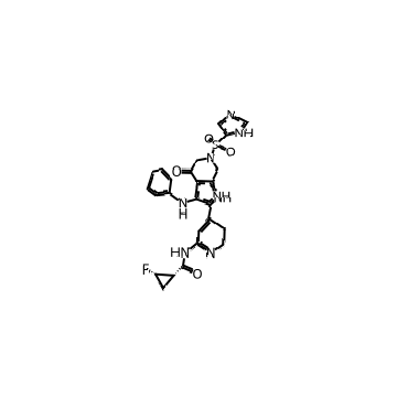 O=C1CN(S(=O)(=O)c2cnc[nH]2)Cc2[nH]c(C3=CC(NC(=O)[C@@H]4C[C@@H]4F)=NCC3)c(NC3=C=C=CC=C3)c21